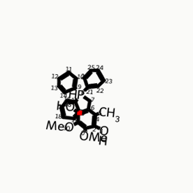 COc1c(O)c(C)c(C[PH](c2ccccc2)(c2ccccc2)c2ccccc2)c(O)c1OC